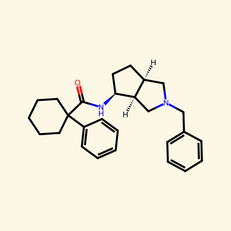 O=C(N[C@H]1CC[C@H]2CN(Cc3ccccc3)C[C@H]21)C1(c2ccccc2)CCCCC1